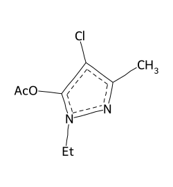 CCn1nc(C)c(Cl)c1OC(C)=O